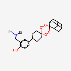 CCN(CC)Cc1cc(C2CCC3(CC2)OOC2(OO3)C3CC4CC(C3)CC2C4)ccc1O